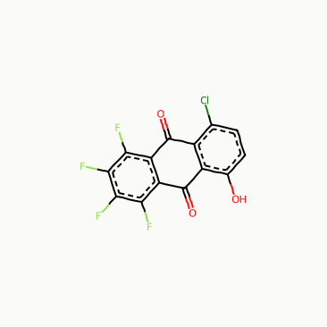 O=C1c2c(O)ccc(Cl)c2C(=O)c2c(F)c(F)c(F)c(F)c21